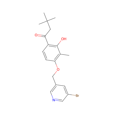 Cc1c(OCc2cncc(Br)c2)ccc(C(=O)CC(C)(C)C)c1O